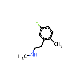 CNCCc1cc(F)ccc1C